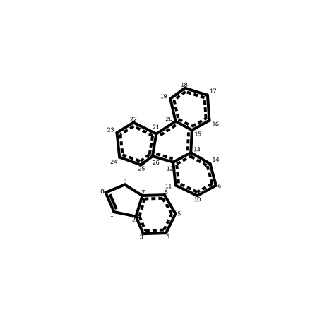 C1=Cc2ccccc2C1.c1ccc2c(c1)c1ccccc1c1ccccc21